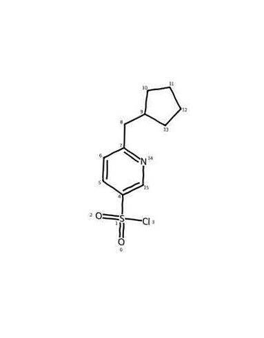 O=S(=O)(Cl)c1ccc(CC2CCCC2)nc1